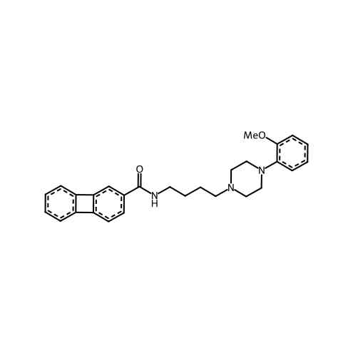 COc1ccccc1N1CCN(CCCCNC(=O)c2ccc3c(c2)-c2ccccc2-3)CC1